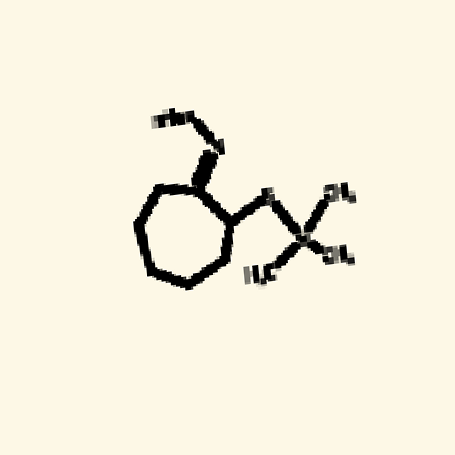 CCCCCC/N=C1\CCCCCC1S[Si](C)(C)C